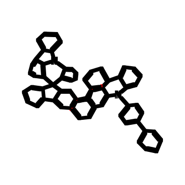 c1ccc(-c2ccc(N(c3ccc(-c4ccc5c(c4)C4(c6ccccc6-5)c5ccccc5-n5c6ccccc6c6cccc4c65)cc3)c3ccccc3-c3cccc(-c4ccccc4)c3)cc2)cc1